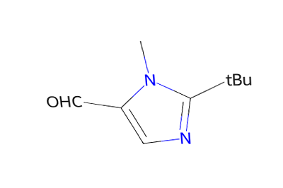 Cn1c(C=O)cnc1C(C)(C)C